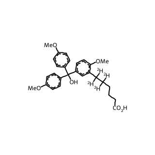 [2H]C([2H])(CCCC(=O)O)C([2H])([2H])c1cc(C(O)(c2ccc(OC)cc2)c2ccc(OC)cc2)ccc1OC